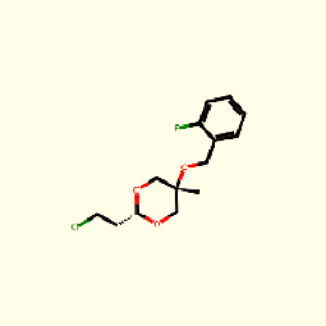 C[C@]1(OCc2ccccc2F)CO[C@@H](CCCl)OC1